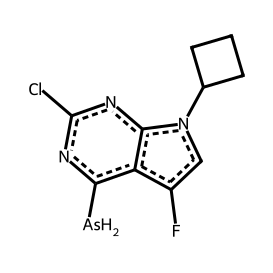 Fc1cn(C2CCC2)c2nc(Cl)nc([AsH2])c12